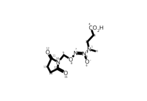 CN(CCC(=O)O)/[N+]([O-])=N/OCN1C(=O)CCC1=O